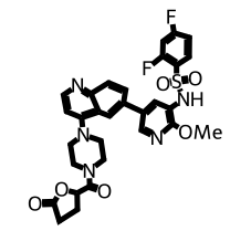 COc1ncc(-c2ccc3nccc(N4CCN(C(=O)C5CCC(=O)O5)CC4)c3c2)cc1NS(=O)(=O)c1ccc(F)cc1F